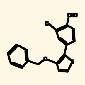 O=Cc1ccc(-c2sccc2OCc2ccccc2)cc1Cl